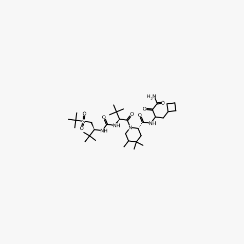 CC1CN(C(=O)[C@@H](NC(=O)N[C@H](CS(=O)(=O)C(C)(C)C)C(C)(C)C)C(C)(C)C)[C@H](C(=O)NC(CC2CCC2)C(=O)C(N)=O)CC1(C)C